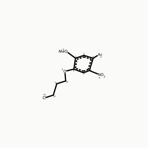 COc1cc(C(C)=O)c([N+](=O)[O-])cc1OCCCCl